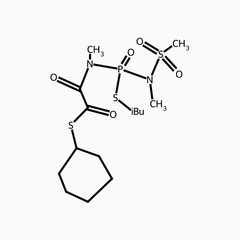 CCC(C)SP(=O)(N(C)C(=O)C(=O)SC1CCCCC1)N(C)S(C)(=O)=O